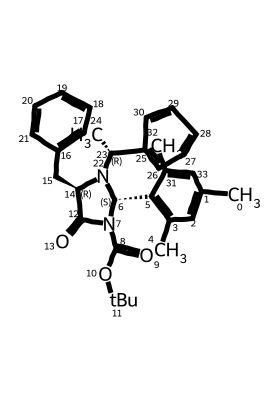 Cc1cc(C)c([C@@H]2N(C(=O)OC(C)(C)C)C(=O)[C@@H](Cc3ccccc3)N2[C@H](C)c2ccccc2)c(C)c1